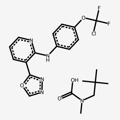 CN(CC(C)(C)C)C(=O)O.FC(F)(Cl)Oc1ccc(Nc2ncccc2-c2nnco2)cc1